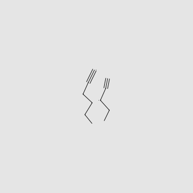 C#C[CH]CC.[C]#CCCCC